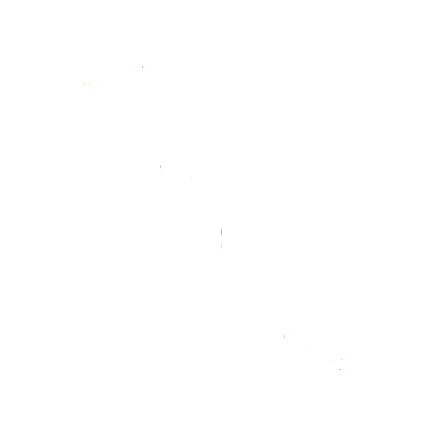 O=C=NCCCCCCCCCCC(=O)O